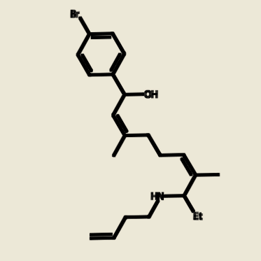 C=CCCNC(CC)C(C)=CCCC(C)=CC(O)c1ccc(Br)cc1